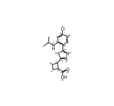 CC(C)Nc1cc(Cl)ncc1-c1nnc(C2CCC2C(=O)O)s1